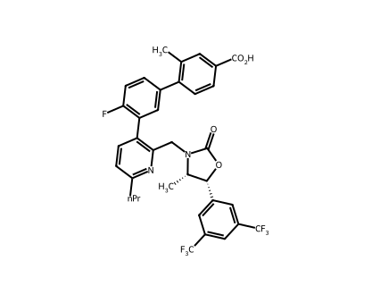 CCCc1ccc(-c2cc(-c3ccc(C(=O)O)cc3C)ccc2F)c(CN2C(=O)O[C@H](c3cc(C(F)(F)F)cc(C(F)(F)F)c3)[C@@H]2C)n1